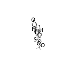 CC(C)C(=O)OOC(=S)[C@H]1CC[C@H]2[C@@H]3CCC4=CC(=O)C=C[C@]4(C)[C@H]3CC[C@]12C